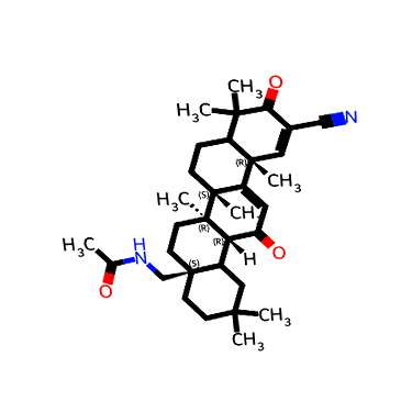 CC(=O)NC[C@]12CCC(C)(C)CC1[C@H]1C(=O)C=C3[C@@]4(C)C=C(C#N)C(=O)C(C)(C)C4CC[C@@]3(C)[C@]1(C)CC2